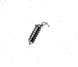 CCNC(F)(F)C(F)(F)C(F)(F)C(F)(F)C(F)(F)C(F)(F)C(F)(F)C(F)(F)F